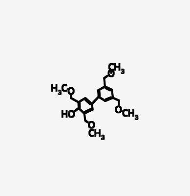 COCc1cc(COC)cc(-c2cc(COC)c(O)c(COC)c2)c1